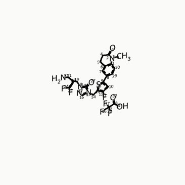 CN1C(=O)CCc2cc(-c3cc(F)c(Cn4cnn(CC(CN)=C(F)F)c4=O)s3)ccc21.O=C(O)C(F)(F)F